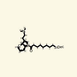 CCCCCCCCCCCCCCCCCC(=O)n1cc(CCN(C)C)c2ccccc21